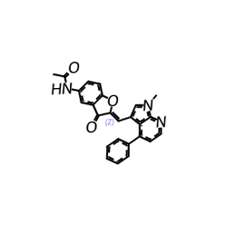 CC(=O)Nc1ccc2c(c1)C(=O)/C(=C/c1cn(C)c3nccc(-c4ccccc4)c13)O2